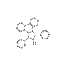 O=C1C(c2ccccc2)c2c(c3ccccc3c3ccccc23)C1c1ccccc1